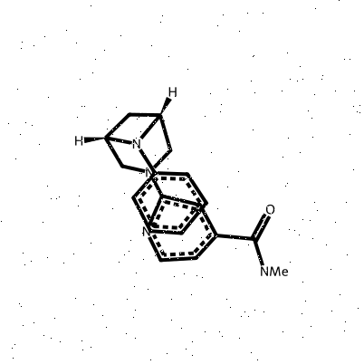 CNC(=O)c1ccnc(N2C[C@H]3C[C@@H](C2)N3c2ccccc2)c1